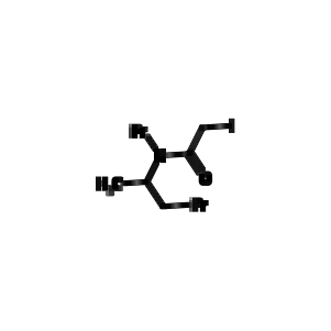 CC(C)CC(C)N(C(=O)CI)C(C)C